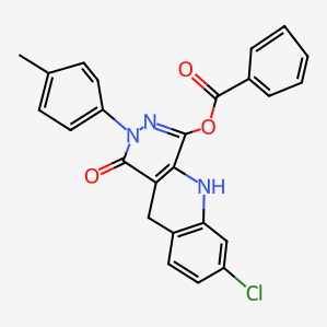 Cc1ccc(-n2nc(OC(=O)c3ccccc3)c3c(c2=O)Cc2ccc(Cl)cc2N3)cc1